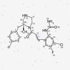 C[C@@]1(Cc2ccc(F)cc2)CNCCN1C(=O)/C=C/c1cc(F)c(Cl)cc1NC(N)=O